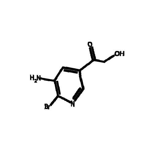 Nc1cc(C(=O)CO)cnc1Br